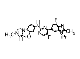 Cc1nc2c(F)cc(-c3nc(Nc4ccc5c(c4)OC[C@@H]4CN(C)CCN54)ncc3F)cc2n1C(C)C